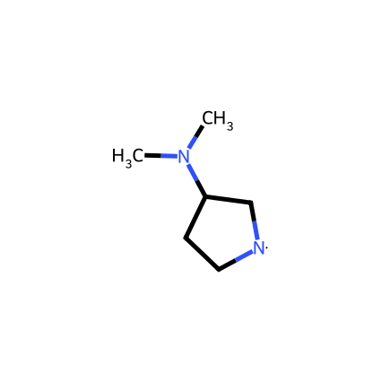 CN(C)C1CC[N]C1